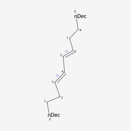 CCCCCCCCCCCC/C=C/C=C/CCCCCCCCCCCC